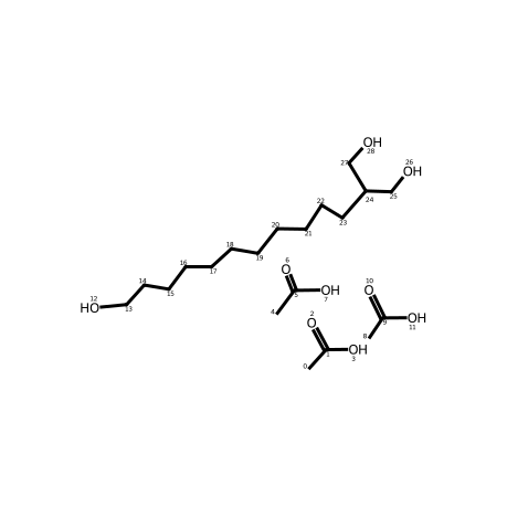 CC(=O)O.CC(=O)O.CC(=O)O.OCCCCCCCCCCCC(CO)CO